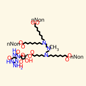 CCCCCCCCCOC(=O)CCCCCCCCN(CCCCCCCCC(=O)OCCCCCCCCC)CCN(C)CCN(CCCCCCCCC(=O)OCCCCCCCCC)CCCCCC(=O)OC[C@@H]1O[C@H](n2c(=O)[nH]c3c(=O)[nH]c(N)nc32)C(O)C1O